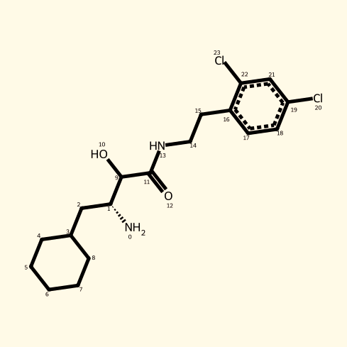 N[C@H](CC1CCCCC1)C(O)C(=O)NCCc1ccc(Cl)cc1Cl